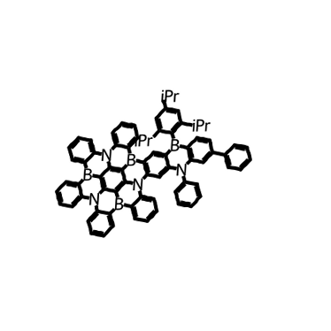 CC(C)c1cc(C(C)C)c(B2c3ccc(-c4ccccc4)cc3N(c3ccccc3)c3cc4c(cc32)B2c3ccccc3N3c5ccccc5B5c6ccccc6N6c7ccccc7B7c8ccccc8N4c4c7c6c5c3c42)c(C(C)C)c1